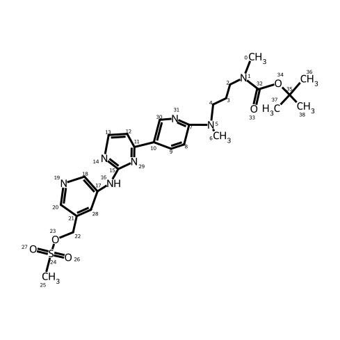 CN(CCCN(C)c1ccc(-c2ccnc(Nc3cncc(COS(C)(=O)=O)c3)n2)cn1)C(=O)OC(C)(C)C